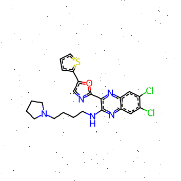 Clc1cc2nc(NCCCCN3CCCC3)c(-c3ncc(-c4cccs4)o3)nc2cc1Cl